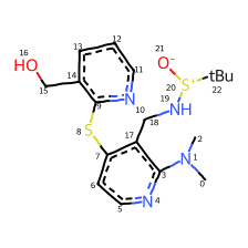 CN(C)c1nccc(Sc2ncccc2CO)c1CN[S+]([O-])C(C)(C)C